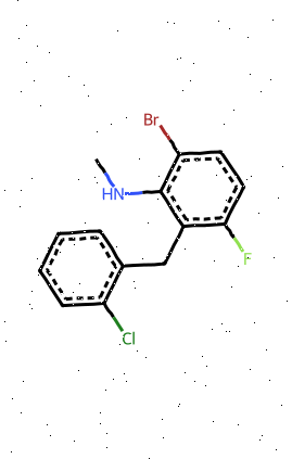 CNc1c(Br)ccc(F)c1Cc1ccccc1Cl